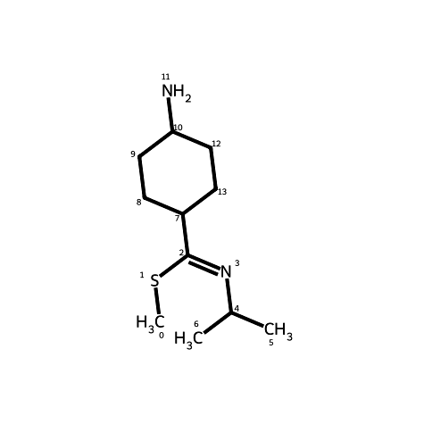 CS/C(=N\C(C)C)C1CCC(N)CC1